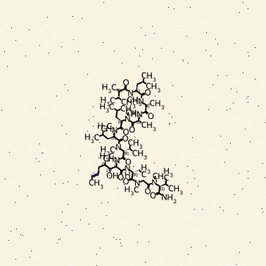 C/C=C/C[C@@H](C)[C@H](O)C(C(=O)N[C@H](CC)C(=O)N(C)CC(=O)N(C)[C@H](C(N)=O)C(C)C)N(C)C(=O)[C@@H](C(C)C)N(C)C(=O)[C@@H](CC(C)C)N(C)C(=O)[C@@H](CC(C)C)N(C)C(=O)[C@H](C)NC(=O)[C@@H](C)NC(=O)[C@H](CC(C)C)N(C)C(=O)[C@H](C)C(C)C